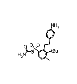 Cc1ccc(S(=O)(=O)OC(N)=O)c(CCc2ccc(N)cc2)c1C(C)(C)C